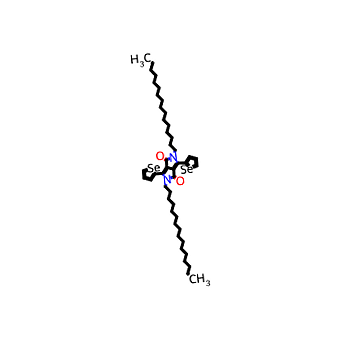 CCCCCCCCCCCCCCCCN1C(=O)C2=C(c3ccc[se]3)N(CCCCCCCCCCCCCCCC)C(=O)C2=C1c1ccc[se]1